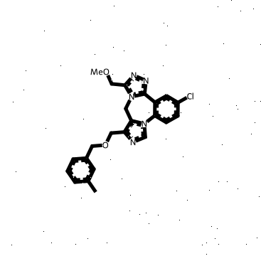 COCc1nnc2n1Cc1c(COCc3cccc(C)c3)ncn1-c1ccc(Cl)cc1-2